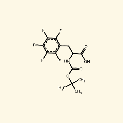 CC(C)(C)OC(=O)NC(Cc1c(F)c(F)c(F)c(F)c1F)C(=O)O